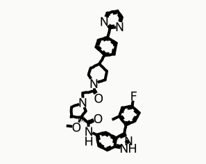 CO[C@@]1(C(=O)Nc2ccc3[nH]nc(-c4ccc(F)cc4C)c3c2)CCN(CC(=O)N2CCC(c3ccc(-c4ncccn4)cc3)CC2)C1